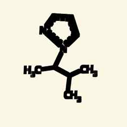 CC(C)C(C)n1cccn1